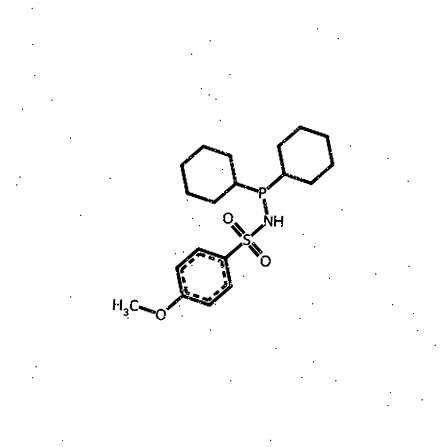 COc1ccc(S(=O)(=O)NP(C2CCCCC2)C2CCCCC2)cc1